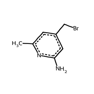 Cc1cc(CBr)cc(N)n1